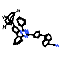 N#Cc1cccc2c(-c3ccc(-c4nc(-c5ccccc5)nc(-c5ccccc5-c5ccc(C67C[C@H]8C[C@@H](C6)C[C@@H](C7)C8)cc5)n4)cc3)cccc12